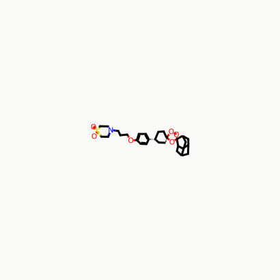 O=S1(=O)CCN(CCCOc2ccc([C@H]3CC[C@]4(CC3)OO[C@]3(O4)C4CC5CC(C4)CC3C5)cc2)CC1